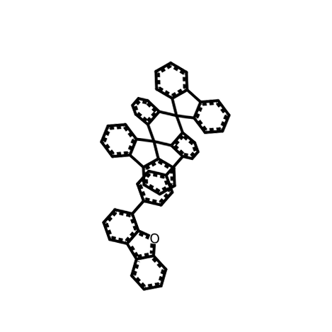 c1ccc2c(c1)-c1ccccc1C21c2ccccc2C2(c3ccccc3-c3ccccc32)c2c(-c3ccc(-c4cccc5c4oc4ccccc45)cc3)cccc21